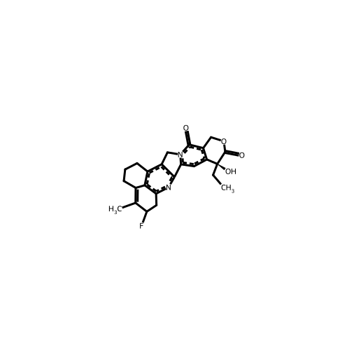 CC[C@@]1(O)C(=O)OCc2c1cc1n(c2=O)Cc2c-1nc1c3c2CCCC3=C(C)C(F)C1